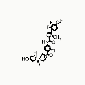 Cn1c(-c2ccc(OCF)c(F)c2F)cnc1C(=O)Nc1ccc(C(=O)N2CCN(C(=O)[C@@H]3C[C@@H](O)CN3)CC2)c(Cl)c1